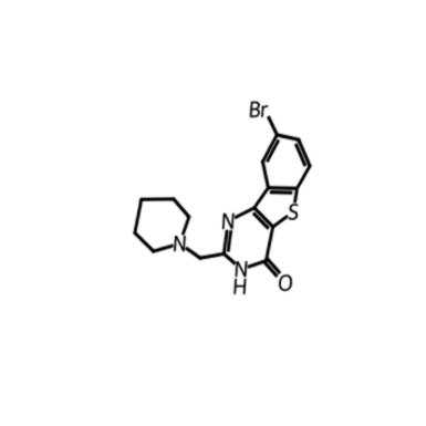 O=c1[nH]c(CN2CCCCC2)nc2c1sc1ccc(Br)cc12